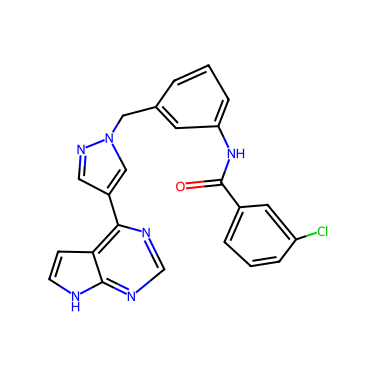 O=C(Nc1cccc(Cn2cc(-c3ncnc4[nH]ccc34)cn2)c1)c1cccc(Cl)c1